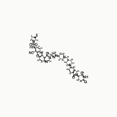 N#Cc1c(NS(=O)(=O)N2CC[C@@H](F)C2)ccc(F)c1Oc1ccc2ncn(-c3ccn(C4CCN(CC5CCN(c6ccc7c(c6)CN(C6CCC(=O)NC6=O)C7=O)CC5)CC4)n3)c(=O)c2c1